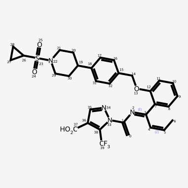 C=C(/N=C(\C=C/C)c1ccccc1OCc1ccc(C2CCN(S(=O)(=O)C3CC3)CC2)cc1)n1ncc(C(=O)O)c1C(F)(F)F